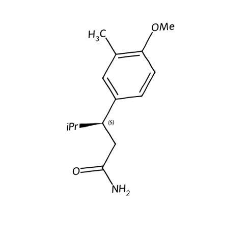 COc1ccc([C@@H](CC(N)=O)C(C)C)cc1C